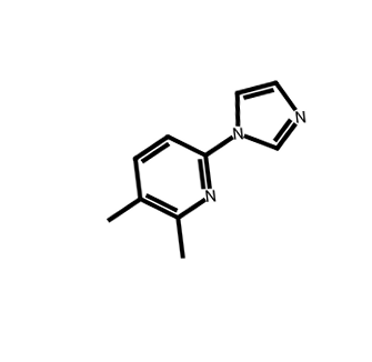 Cc1ccc(-n2ccnc2)nc1C